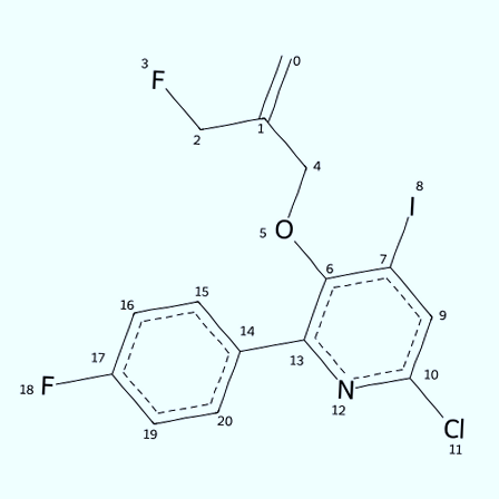 C=C(CF)COc1c(I)cc(Cl)nc1-c1ccc(F)cc1